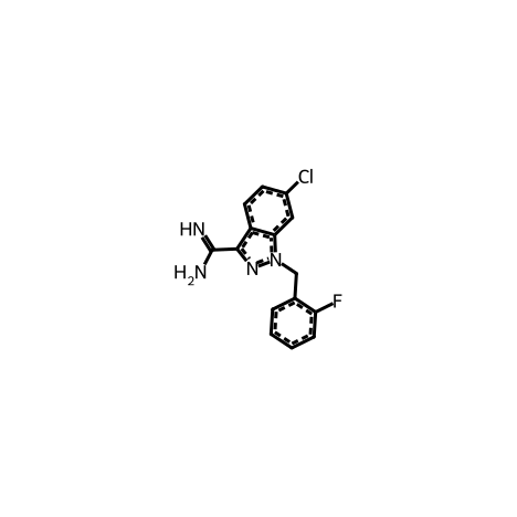 N=C(N)c1nn(Cc2ccccc2F)c2cc(Cl)ccc12